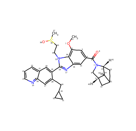 COc1cc(C(=O)N2C[C@H]3CC4C[C@@H]2[C@H]43)cc2nc(-c3cc4cccnc4cc3CC3CC3)n(CC[S+](C)[O-])c12